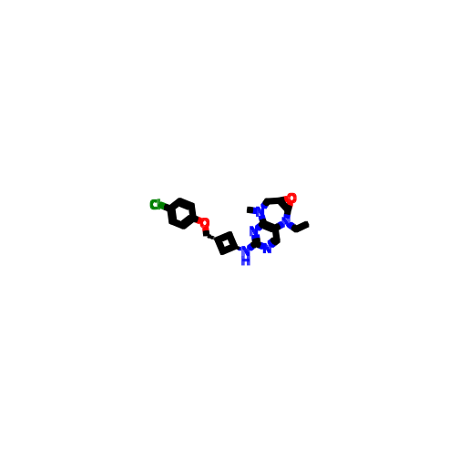 CCN1c2cnc(N[C@H]3C[C@@H](COc4ccc(Cl)cc4)C3)nc2N(C)CC2OC21